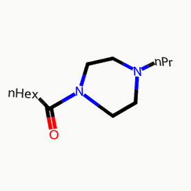 CCCCCCC(=O)N1CCN(CCC)CC1